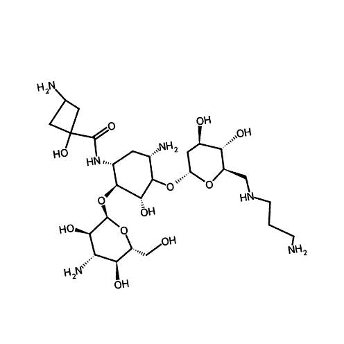 NCCCNC[C@H]1O[C@H](OC2[C@@H](N)C[C@@H](NC(=O)C3(O)CC(N)C3)[C@H](O[C@H]3O[C@H](CO)[C@@H](O)[C@H](N)[C@H]3O)[C@H]2O)C[C@@H](O)[C@@H]1O